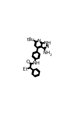 CCC(C(=O)Nc1ccc(-c2cc(C(C)(C)C)nc3[nH]nc(N)c23)cc1)c1ccccc1